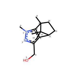 Cn1nc(CO)c2c1C1(C)CCC2C1(C)C